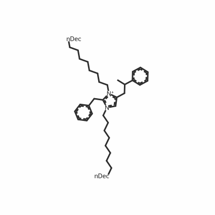 CCCCCCCCCCCCCCCCCCn1cc(CC(C)c2ccccc2)[n+](CCCCCCCCCCCCCCCCCC)c1Cc1ccccc1